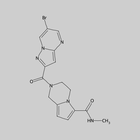 CNC(=O)c1ccc2n1CCN(C(=O)c1cc3ncc(Br)cn3n1)C2